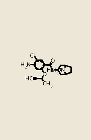 C#CC(C)Oc1cc(N)c(Cl)cc1C(=O)NC1CC2CCC(C1)N2C